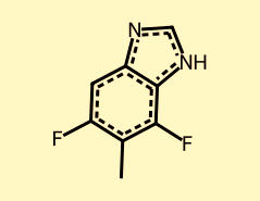 Cc1c(F)cc2nc[nH]c2c1F